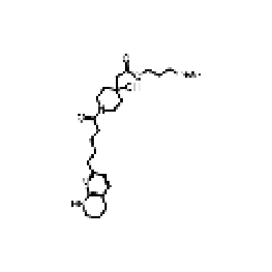 COCCCOC(=O)CC1(O)CCN(C(=O)CCCCc2ccc3c(n2)NCCC3)CC1